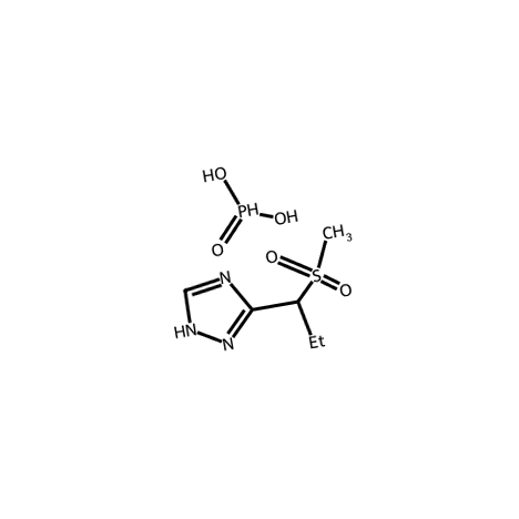 CCC(c1nc[nH]n1)S(C)(=O)=O.O=[PH](O)O